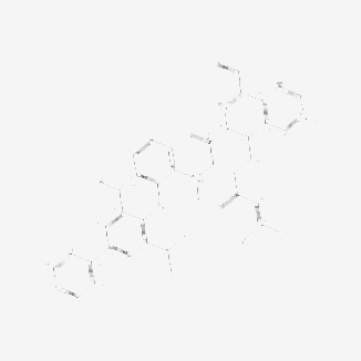 C=CC1=NC(C(=C)CN(C)c2ccccc2Nc2c(C(C)C)cc(-c3ccccc3)cc2C(C)C)C(CCC(=C)/C=C(\C)O)c2cnccc21